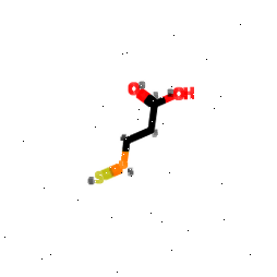 O=C(O)CCP=S